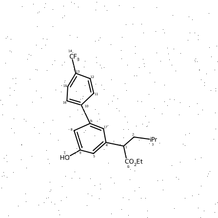 CCOC(=O)C(CC(C)C)c1cc(O)cc(-c2ccc(C(F)(F)F)cc2)c1